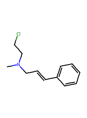 CN(C/C=C/c1ccccc1)CCCl